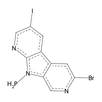 Pn1c2cnc(Br)cc2c2cc(I)cnc21